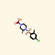 Cc1cc(Br)ccc1S(=O)(=O)N1CCN(C(=O)O)C[C@@H]1C